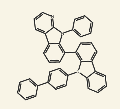 c1ccc(-c2ccc(-n3c4ccccc4c4cccc(-c5cccc6c7cccnc7n(-c7ccccc7)c56)c43)cc2)cc1